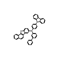 c1ccc(-c2cccc(N(c3ccc(-n4c5ccccc5c5ccccc54)cc3)c3ccc4oc5c6ccccc6ccc5c4c3)c2)cc1